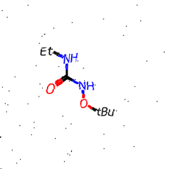 CCNC(=O)NOC(C)(C)C